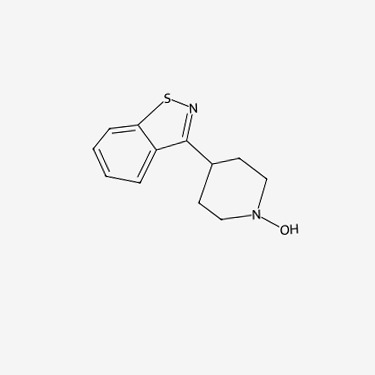 ON1CCC(c2nsc3ccccc23)CC1